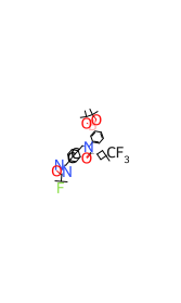 CC(C)(F)c1nc(C23CCC(CN(c4cccc(B5OC(C)(C)C(C)(C)O5)c4)C(=O)[C@H]4C[C@](C)(C(F)(F)F)C4)(CC2)CC3)no1